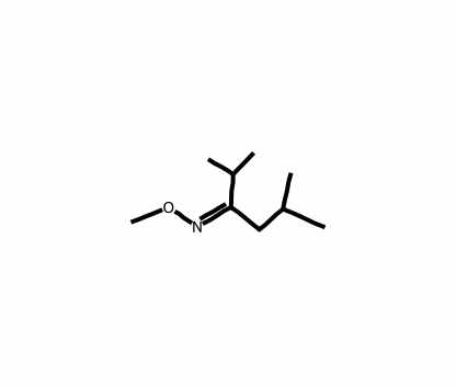 CON=C(CC(C)C)C(C)C